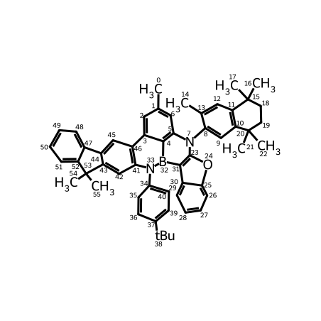 Cc1cc2c3c(c1)N(c1cc4c(cc1C)C(C)(C)CCC4(C)C)c1oc4ccccc4c1B3N(c1ccc(C(C)(C)C)cc1)c1cc3c(cc1-2)-c1ccccc1C3(C)C